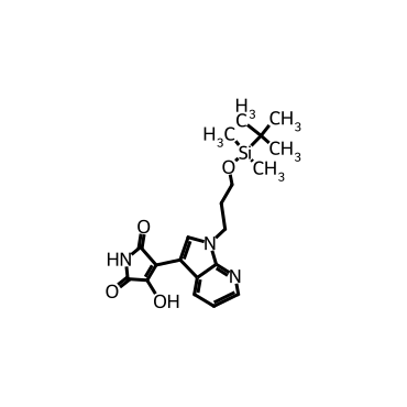 CC(C)(C)[Si](C)(C)OCCCn1cc(C2=C(O)C(=O)NC2=O)c2cccnc21